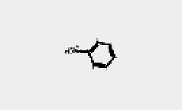 [SiH]c1ccccc1